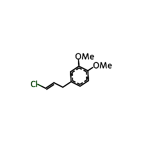 COc1ccc(CC=CCl)cc1OC